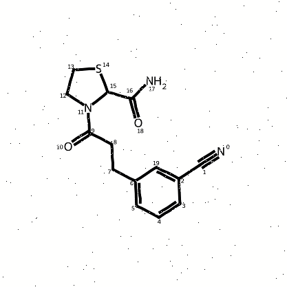 N#Cc1cccc(C[CH]C(=O)N2CCSC2C(N)=O)c1